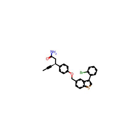 CC#C[C@@H](CC(N)=O)c1ccc(OCc2ccc3scc(-c4ccccc4Br)c3c2)cc1